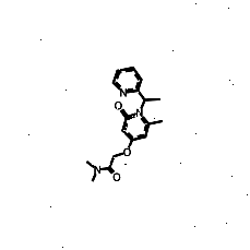 Cc1cc(OCC(=O)N(C)C)cc(=O)n1C(C)c1ccccn1